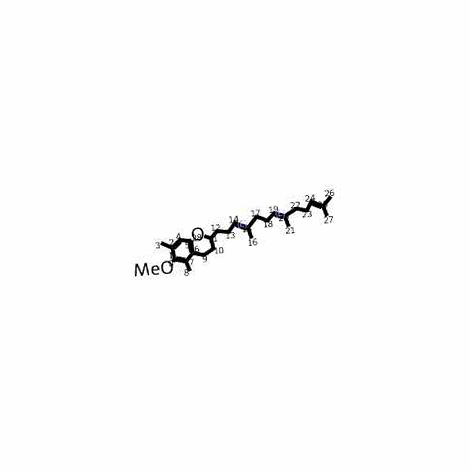 COc1c(C)cc2c(c1C)CCC(CC/C=C(\C)CC/C=C(\C)CCC=C(C)C)O2